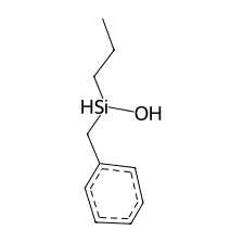 CCC[SiH](O)Cc1ccccc1